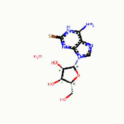 Nc1[nH]c(=S)nc2c1ncn2[C@@H]1O[C@H](CO)[C@@H](O)[C@H]1O.O